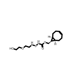 O=C(NSNCCOCCO)OC[C@@H]1[C@@H]2CC/C=C\CC[C@@H]21